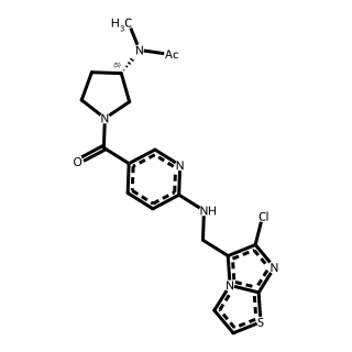 CC(=O)N(C)[C@H]1CCN(C(=O)c2ccc(NCc3c(Cl)nc4sccn34)nc2)C1